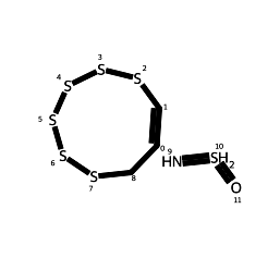 C1=CSSSSSSC1.N=[SH2]=O